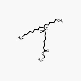 CCCCCCCCN(CCCCCC)S(=O)(=O)CCCCCCC(=O)OCC